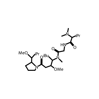 CCC(C)C(C(CC(=O)N1CCCC1C(OC)C(C)C)OC)N(C)C(=O)CNC(=O)C(C(C)C)N(C)C